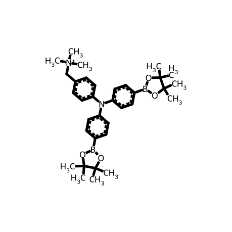 CC1(C)OB(c2ccc(N(c3ccc(C[N+](C)(C)C)cc3)c3ccc(B4OC(C)(C)C(C)(C)O4)cc3)cc2)OC1(C)C